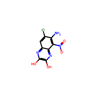 Nc1c(Cl)cc2nc(O)c(O)nc2c1[N+](=O)[O-]